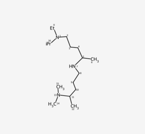 CCN(CCCC(C)NCCCC(C)N(C)C)C(C)C